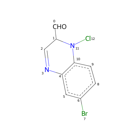 O=CC1C=Nc2cc(Br)ccc2N1Cl